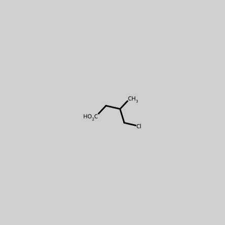 CC(CCl)CC(=O)O